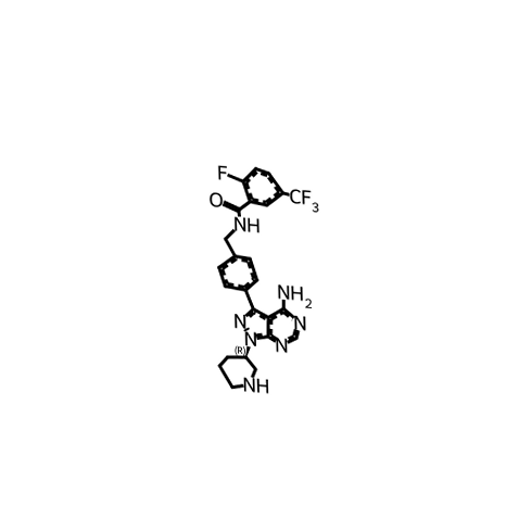 Nc1ncnc2c1c(-c1ccc(CNC(=O)c3cc(C(F)(F)F)ccc3F)cc1)nn2[C@@H]1CCCNC1